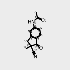 CC(=O)Nc1ccc2c(c1)CC(C)(C#N)C2=O